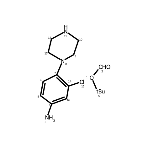 CC(C)(C)OC=O.Nc1ccc(N2CCNCC2)c(Cl)c1